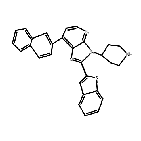 c1ccc2cc(-c3ccnc4c3nc(-c3cc5ccccc5s3)n4C3CCNCC3)ccc2c1